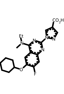 CCN(C)c1nc(-n2cc(C(=O)O)cn2)nc2cc(F)c(OC3CCCCC3)cc12